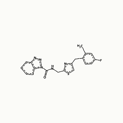 Cc1cc(F)ccc1Cc1csc(CNC(=O)n2nnc3ccccc32)n1